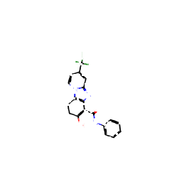 O=C(Nc1ccccc1)C1=C(O)CCc2c1nc1cc(C(F)(F)F)ccn21